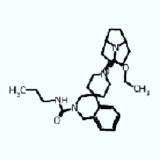 CCCNC(=O)N1Cc2ccccc2C2(CCN(C3CCC4CCC(C3)N4C(=O)OCC)CC2)C1